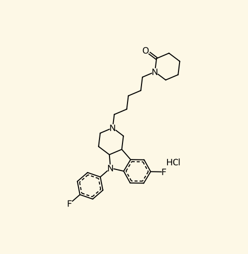 Cl.O=C1CCCCN1CCCCCN1CCC2C(C1)c1cc(F)ccc1N2c1ccc(F)cc1